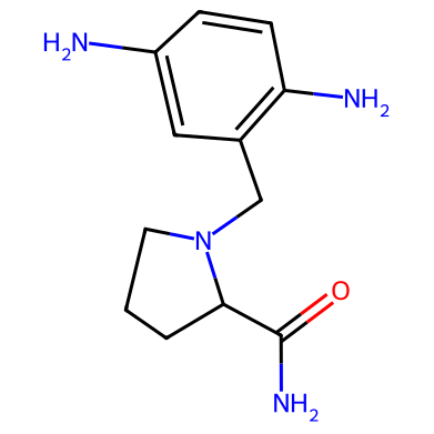 NC(=O)C1CCCN1Cc1cc(N)ccc1N